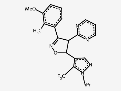 CCCn1ncc(C2ON=C(c3cccc(OC)c3C)C2c2ncccn2)c1C(F)(F)F